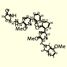 COc1ccnc2c1CN(Cc1ncc(-c3cccc(-c4cccc(-c5cnc(CNC[C@@H]6CCC(=O)N6)c(OC)n5)c4Cl)c3Cl)nc1OC)C2